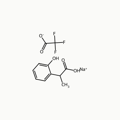 CC(C(=O)O)c1ccccc1O.O=C([O-])C(F)(F)F.[Na+]